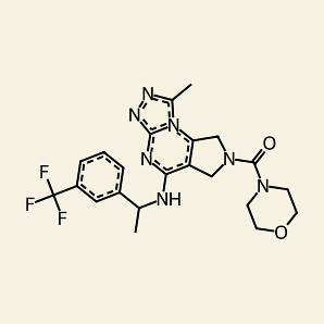 Cc1nnc2nc(NC(C)c3cccc(C(F)(F)F)c3)c3c(n12)CN(C(=O)N1CCOCC1)C3